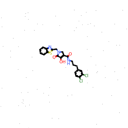 O=C(NCCCc1ccc(Cl)c(Cl)c1)C1=C(O)C(=O)N(Cc2nc3ccccc3s2)C1